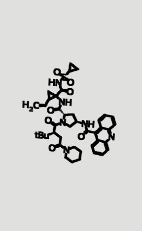 C=CC1CC1(NC(=O)[C@@H]1C[C@@H](NC(=O)c2c3ccccc3nc3ccccc23)CN1C(=O)[C@@H](CC(=O)N1CCCCC1)C(C)(C)C)C(=O)NS(=O)(=O)C1CC1